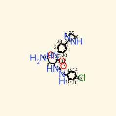 NC(=O)CC(NC(=O)Nc1ccc(Cl)cc1)C(=O)Nc1ccc(C2=NCCN2)cc1